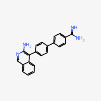 N=C(N)c1ccc(-c2ccc(-c3c(N)ncc4ccccc34)cc2)cc1